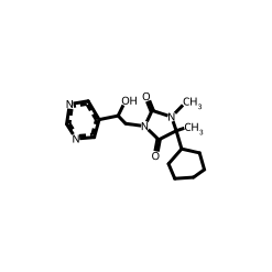 CN1C(=O)N(CC(O)c2cncnc2)C(=O)C1(C)C1CCCCC1